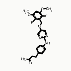 COc1cc(OC)c(F)c(COc2cnc(Nc3ccc(CCC(=O)O)cc3)nc2)c1F